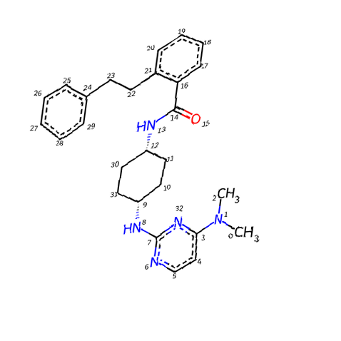 CN(C)c1ccnc(N[C@H]2CC[C@@H](NC(=O)c3ccccc3CCc3ccccc3)CC2)n1